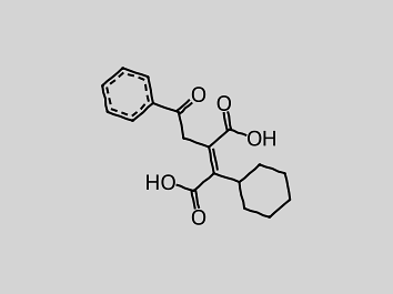 O=C(O)C(CC(=O)c1ccccc1)=C(C(=O)O)C1CCCCC1